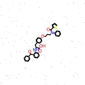 O=C(c1ccccc1)c1ccccc1NC(Cc1ccc(OCCCN(C(=O)c2cccs2)c2ccccc2)cc1)C(=O)O